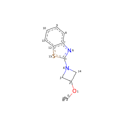 CC(C)OC1CN(c2nc3ccccc3s2)C1